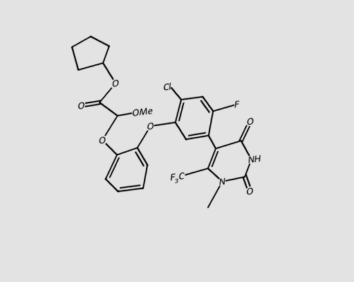 COC(Oc1ccccc1Oc1cc(-c2c(C(F)(F)F)n(C)c(=O)[nH]c2=O)c(F)cc1Cl)C(=O)OC1CCCC1